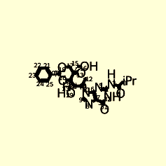 CC(C)C(=O)Nc1nc2c(ncn2[C@@H]2CO[C@]3(CO)CO[C@@H](c4ccccc4)O[C@H]3[C@H]2O)c(=O)[nH]1